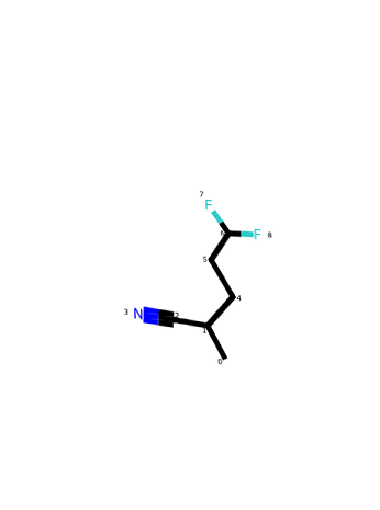 C[C](C#N)CCC(F)F